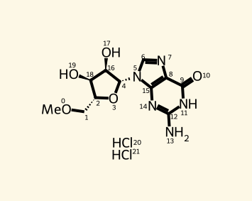 COC[C@H]1O[C@@H](n2cnc3c(=O)[nH]c(N)nc32)[C@H](O)[C@@H]1O.Cl.Cl